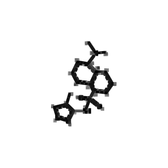 Cc1cnoc1NS(=O)(=O)c1cccc2c(N(C)C)cccc12